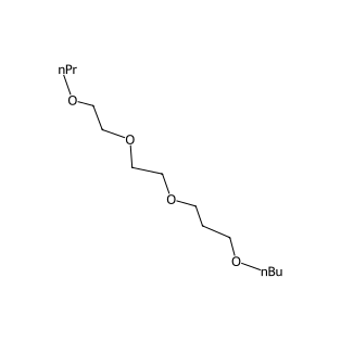 CCCCOCCCOCCOCCOCCC